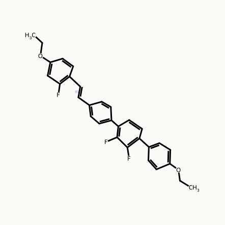 CCOc1ccc(-c2ccc(-c3ccc(/C=C/c4ccc(OCC)cc4F)cc3)c(F)c2F)cc1